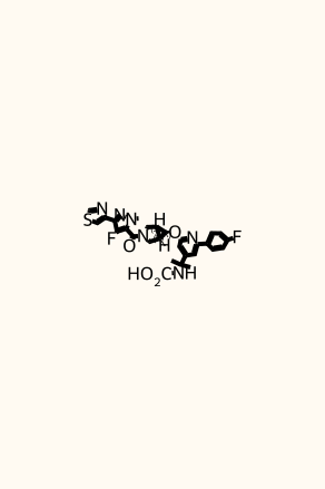 Cn1nc(-c2cscn2)c(F)c1C(=O)N1C[C@@H]2[C@H](C1)[C@@H]2Oc1cc(C(C)(C)NC(=O)O)cc(-c2ccc(F)cc2)n1